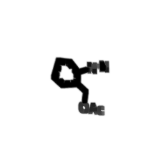 CC(=O)OCc1ccccc1[N+]#N